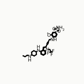 CCCNC1CCC(Nc2cccc3c2cc(C#CCNc2ccc(S(N)(=O)=O)cc2OC)n3CC(F)(F)F)CC1